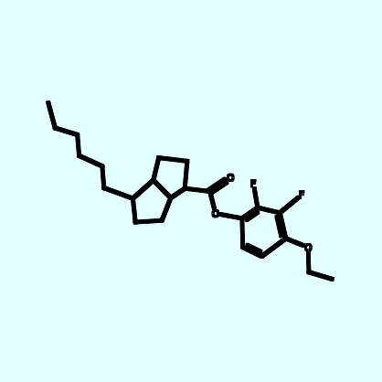 CCCCCCC1CCC2C(C(=O)Oc3ccc(OCC)c(F)c3F)CCC12